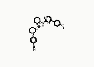 COc1ccc(-c2ccnc(N[C@@H]3CCCC[C@H]3N[C@H]3CCCN(c4ccc(C#N)cc4)C3)n2)cc1